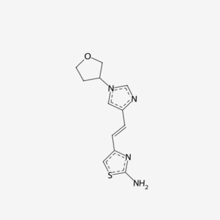 Nc1nc(/C=C/c2cn(C3CCOC3)cn2)cs1